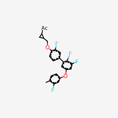 CC(=O)C1CC1COc1ccc(-c2cc(Oc3ccc(C)c(F)c3)cc(F)c2F)cc1F